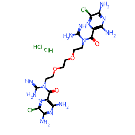 Cl.Cl.N=C(N)N(CCOCCOCCN(C(=N)N)C(=O)c1nc(Cl)c(N)nc1N)C(=O)c1nc(Cl)c(N)nc1N